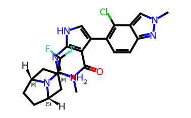 Cn1cc2c(Cl)c(-c3c[nH]c4nc(N5[C@@H]6CC[C@H]5C[C@](N)(C(F)F)C6)n(C)c(=O)c34)ccc2n1